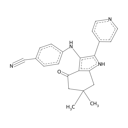 CC1(C)CC(=O)c2c([nH]c(-c3ccncc3)c2Nc2ccc(C#N)cc2)C1